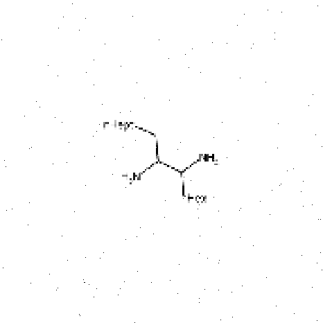 CCCCCCCCC(N)C(N)CCCCCC